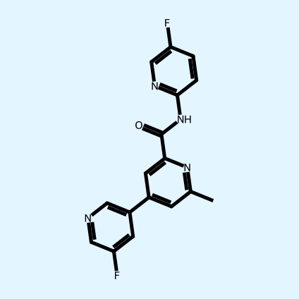 Cc1cc(-c2cncc(F)c2)cc(C(=O)Nc2ccc(F)cn2)n1